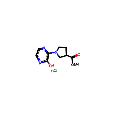 COC(=O)C1CCN(c2nccnc2O)C1.Cl